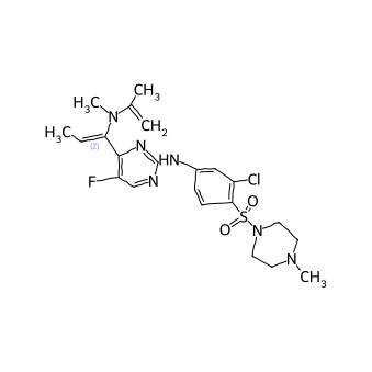 C=C(C)N(C)/C(=C\C)c1nc(Nc2ccc(S(=O)(=O)N3CCN(C)CC3)c(Cl)c2)ncc1F